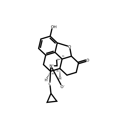 O=C1CC[C@H]2[C@H]3Cc4ccc(O)c5c4[C@@]2(CC[N+]3([O-])CC2CC2)C1O5